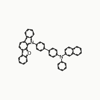 c1ccc(N(c2ccc(-c3ccc(-n4c5ccccc5c5ccc6c7ccccc7oc6c54)cc3)cc2)c2ccc3ccccc3c2)cc1